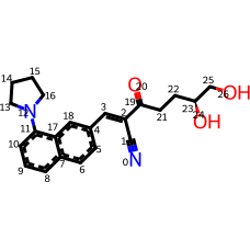 N#C/C(=C\c1ccc2cccc(N3CCCC3)c2c1)C(=O)CC[C@H](O)CO